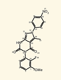 COc1cccc(-n2c(=O)[nH]c3nn(-c4ccc([N+](=O)[O-])cc4)c(C)c3c2=O)c1F